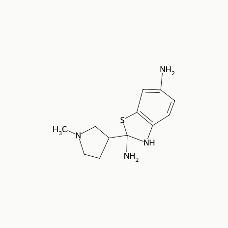 CN1CCC(C2(N)Nc3ccc(N)cc3S2)C1